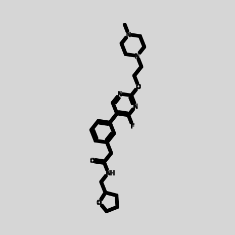 CN1CCN(CCOc2ncc(-c3cccc(CC(=O)NCC4CCCO4)c3)c(F)n2)CC1